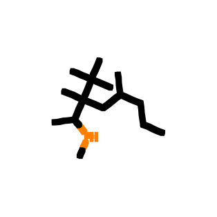 CCCC(C)CC(C)(C(C)PC)C(C)(C)C